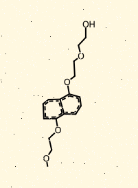 COCCOc1cccc2c(OCCOCCO)cccc12